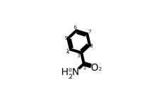 NC(=O)c1[c]cccc1